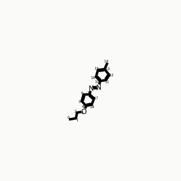 CCCOc1ccc(N=Nc2ccc(C)cc2)cc1